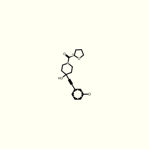 O=C([C@H]1CCCO1)N1CCC(O)(C#Cc2cccc(Cl)c2)CC1